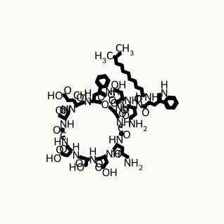 CCC(C)CCCCCCCCC(=O)NC(Cc1c[nH]c2ccccc12)C(=O)NC(CC(N)=O)C(=O)NC(CC(=O)O)C(=O)NC1C(=O)NCC(=O)NC(CCCN)C(=O)NC(CC(=O)O)C(=O)NC(CO)C(=O)NC(CC(=O)O)C(=O)NCC(=O)NC(CO)C(=O)NC(C(C)CC(=O)O)C(=O)NC(Cc2c[nH]c3ccccc23)C(=O)OC1C